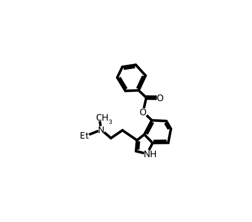 CCN(C)CCc1c[nH]c2cccc(OC(=O)c3ccccc3)c12